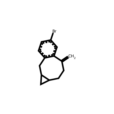 C=C1CCC2CC2Cc2ccc(Br)cc21